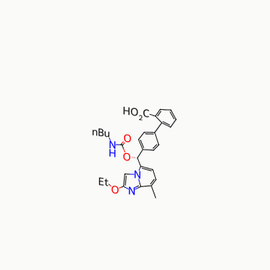 CCCCNC(=O)O[C@H](c1ccc(-c2ccccc2C(=O)O)cc1)c1ccc(C)c2nc(OCC)cn12